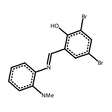 CNc1ccccc1/N=C/c1cc(Br)cc(Br)c1O